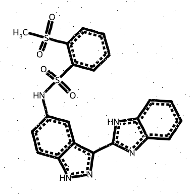 CS(=O)(=O)c1ccccc1S(=O)(=O)Nc1ccc2[nH]nc(-c3nc4ccccc4[nH]3)c2c1